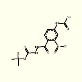 CC(C)(C)OC(=O)NNC(=O)c1ccc(NC(=O)O)cc1[N+](=O)[O-]